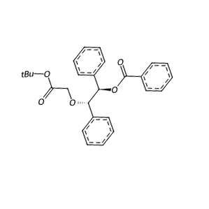 CC(C)(C)OC(=O)CO[C@@H](c1ccccc1)[C@H](OC(=O)c1ccccc1)c1ccccc1